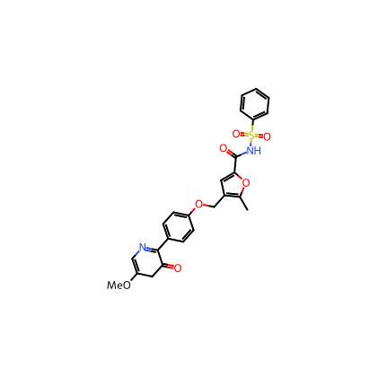 COC1=CN=C(c2ccc(OCc3cc(C(=O)NS(=O)(=O)c4ccccc4)oc3C)cc2)C(=O)C1